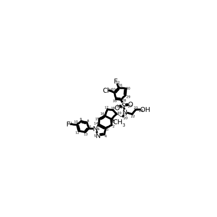 C[C@]12Cc3cnn(-c4ccc(F)cc4)c3C=C1CC[C@@H]2CN(CCO)S(=O)(=O)c1ccc(F)c(Cl)c1